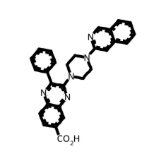 O=C(O)c1ccc2nc(-c3ccccc3)c(N3CCN(c4cc5ccccc5cn4)CC3)nc2c1